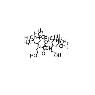 CC1(C)CC(N(CCO)c2c([O-])[c+](N(CCO)C3CC(C)(C)NC(C)(C)C3)[c+]2[O-])CC(C)(C)N1